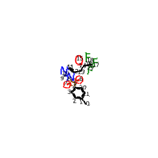 Cc1ccc(S(=O)(=O)n2cncc2CC(=O)C(F)(F)F)cc1